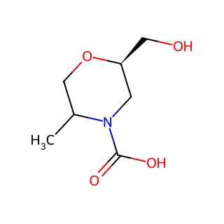 CC1CO[C@@H](CO)CN1C(=O)O